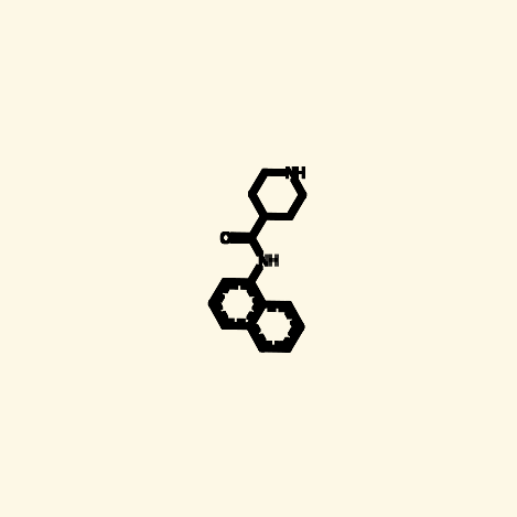 O=C(Nc1cccc2ccccc12)C1CCNCC1